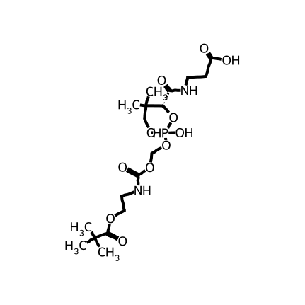 CC(C)(C)C(=O)OCCNC(=O)OCO[PH]1(O)OCC(C)(C)[C@H](C(=O)NCCC(=O)O)O1